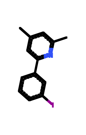 Cc1cc(C)nc(-c2cccc(I)c2)c1